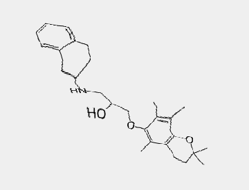 Cc1c(C)c2c(c(C)c1OCC(O)CNC1CCc3ccccc3C1)CCC(C)(C)O2